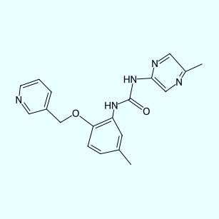 Cc1ccc(OCc2cccnc2)c(NC(=O)Nc2cnc(C)cn2)c1